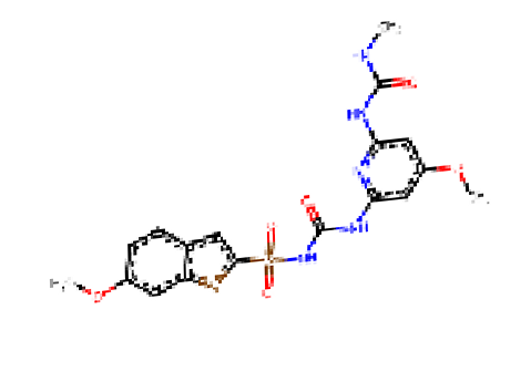 CNC(=O)Nc1cc(OC)cc(NC(=O)NS(=O)(=O)c2cc3ccc(OC)cc3s2)n1